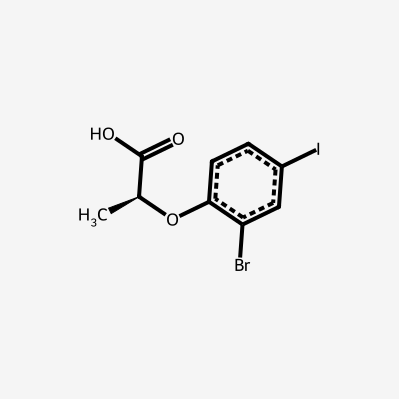 C[C@H](Oc1ccc(I)cc1Br)C(=O)O